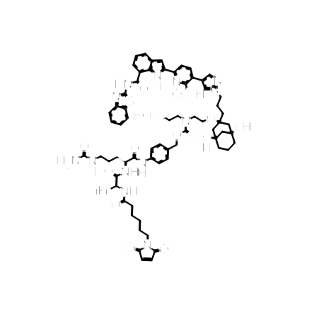 CC(C)C(NC(=O)CCCCCN1C(=O)C=CC1=O)C(=O)N[C@@H](CCCNC(N)=O)C(=O)Nc1ccc(COC(=O)N(CCOC2(CCCn3cc(-c4ccc(-c5cc6cccc(C(=O)Nc7nc8ccccc8s7)c6[nH]5)nc4C(=O)O)cn3)CC3(C)CCCC(C)(C3)C2)CCS(=O)(=O)O)cc1